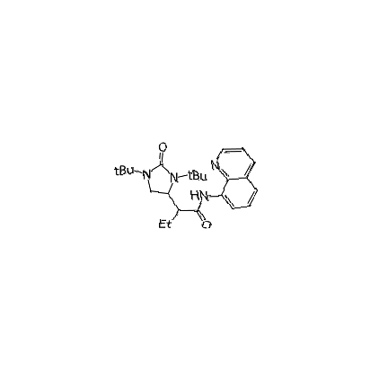 CCC(C(=O)Nc1cccc2cccnc12)C1CN(C(C)(C)C)C(=O)N1C(C)(C)C